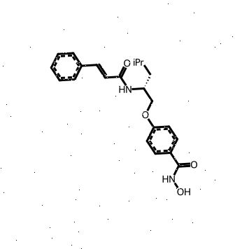 CC(C)C[C@H](COc1ccc(C(=O)NO)cc1)NC(=O)/C=C/c1ccccc1